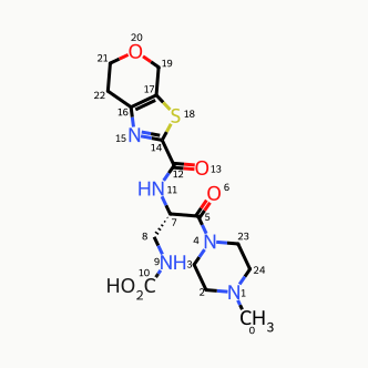 CN1CCN(C(=O)[C@H](CNC(=O)O)NC(=O)c2nc3c(s2)COCC3)CC1